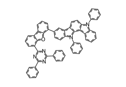 c1ccc(-c2nc(-c3ccccc3)nc(-c3cccc4c3oc3c(-c5ccc6c(c5)c5ccc7c(c8ccccc8n7-c7ccccc7)c5n6-c5ccccc5)cccc34)n2)cc1